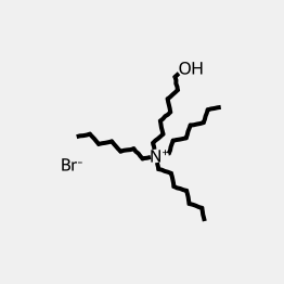 CCCCCCC[N+](CCCCCCC)(CCCCCCC)CCCCCCCO.[Br-]